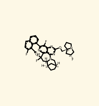 C#Cc1c(F)ccc2cccc(-c3nc4c5c(nc(OC[C@@]67CCCN6C[C@H](F)C7)nc5c3F)N3C[C@H]5CC[C@H](C5)[C@H]3CC4(F)F)c12